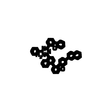 N/C(=N\C(=N/Cc1ccccc1)c1cccc2c1oc1ccccc12)c1ccc(-c2cccc3oc4cc(-c5ccc6ccccc6c5)ccc4c23)c2ccccc12